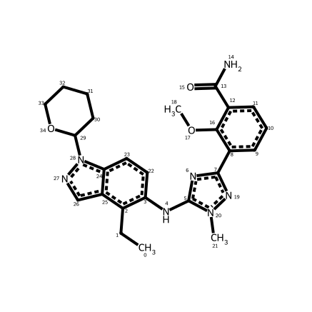 CCc1c(Nc2nc(-c3cccc(C(N)=O)c3OC)nn2C)ccc2c1cnn2C1CCCCO1